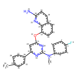 CCN(c1ccc(F)cc1)c1nc(Oc2cccc3ccc(N)nc23)cc(-c2ccc(C(F)(F)F)cc2)n1